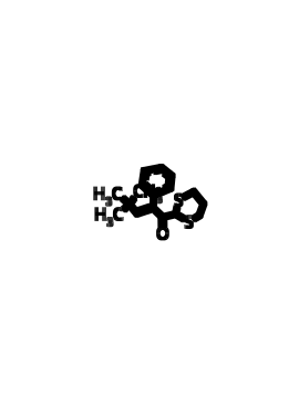 CC(C)(C)C=C(C(=O)C1SCCCS1)c1ccccc1